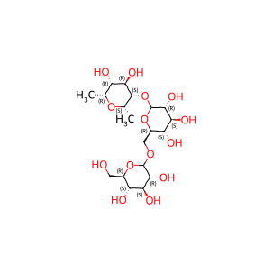 C[C@@H]1O[C@H](C)[C@H](O)[C@@H](O)[C@@H]1OC1O[C@H](COC2O[C@H](CO)[C@@H](O)[C@H](O)[C@H]2O)[C@@H](O)[C@H](O)[C@H]1O